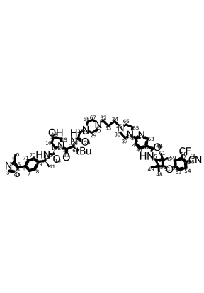 Cc1ncsc1-c1ccc([C@H](C)NC(=O)[C@@H]2C[C@@H](O)CN2C(=O)[C@@H](NC(=O)CN2CCN(CCCN3CCN(c4ccc(C(=O)N[C@H]5C(C)(C)[C@H](Oc6ccc(C#N)c(C(F)(F)F)c6)C5(C)C)cn4)CC3)CC2)C(C)(C)C)cc1